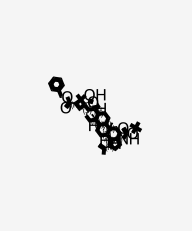 C=C(C)[C@@H]1CC[C@]2(NC(=O)OC(C)(C)C)CC[C@]3(C)[C@H](CC[C@@H]4[C@]5(C)CC[C@H]([C@@]6(C(=O)O)C[C@@H](C(=O)OCc7ccccc7)C6(C)C)C(C)(C)[C@H]5CC[C@]43C)[C@@H]12